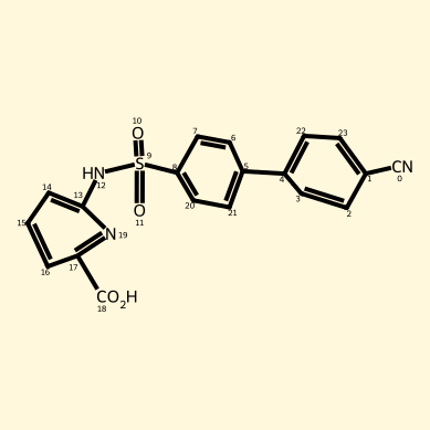 N#Cc1ccc(-c2ccc(S(=O)(=O)Nc3cccc(C(=O)O)n3)cc2)cc1